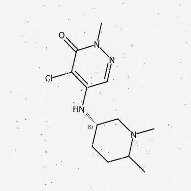 CC1CC[C@H](Nc2cnn(C)c(=O)c2Cl)CN1C